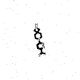 S=C(I)c1ccc(N2CCC3(CC2)CNC3)nn1